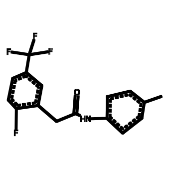 Cc1ccc(NC(=O)Cc2cc(C(F)(F)F)ccc2F)cc1